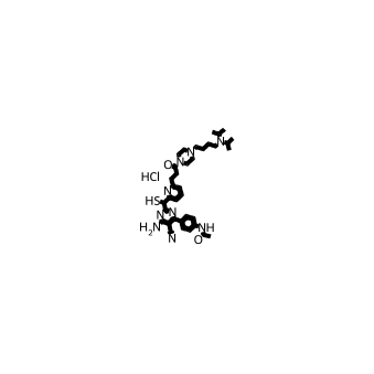 CC(=O)Nc1ccc(-c2nc(C(S)c3cccc(CCC(=O)N4CCN(CCCCN(C(C)C)C(C)C)CC4)n3)nc(N)c2C#N)cc1.Cl